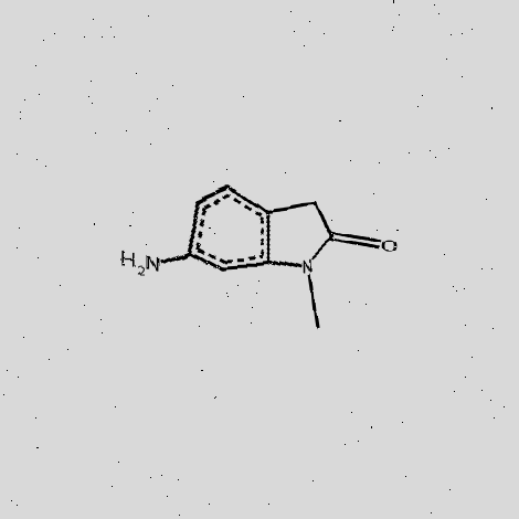 CN1C(=O)Cc2ccc(N)cc21